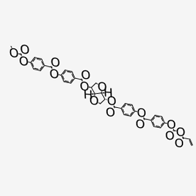 C=CC(=O)OC(=O)Oc1ccc(C(=O)Oc2ccc(C(=O)O[C@@H]3CO[C@H]4[C@@H]3OC[C@@H]4OC(=O)c3ccc(OC(=O)c4ccc(OC(=O)OC)cc4)cc3)cc2)cc1